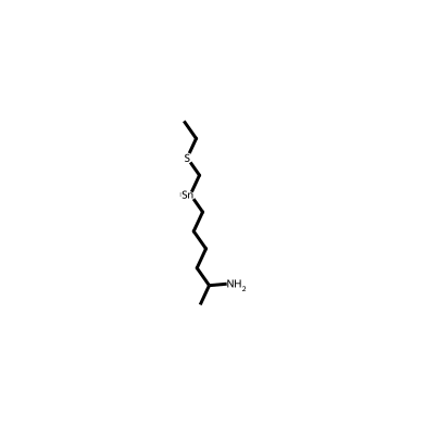 CCS[CH2][Sn][CH2]CCCC(C)N